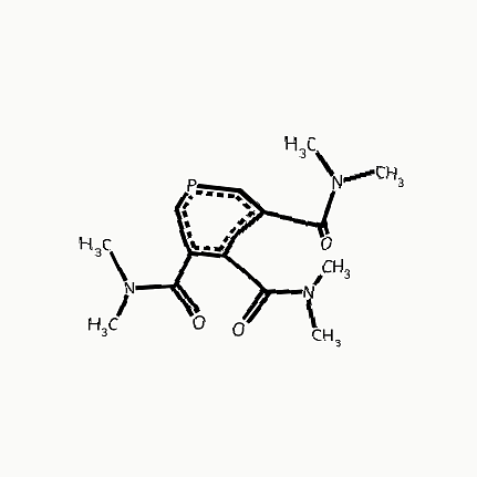 CN(C)C(=O)c1cpcc(C(=O)N(C)C)c1C(=O)N(C)C